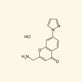 Cl.NCc1cc(=O)c2ccc(-n3cccn3)cc2o1